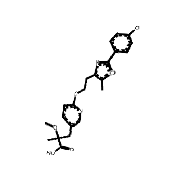 COC(C)(Cc1ccc(OCCc2nc(-c3ccc(Cl)cc3)oc2C)nc1)C(=O)O